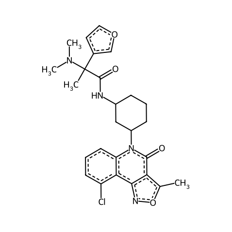 Cc1onc2c1c(=O)n(C1CCCC(NC(=O)C(C)(c3ccoc3)N(C)C)C1)c1cccc(Cl)c21